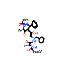 COC(=O)N[C@H](C(=O)NN(CC1CCCCC1)CC(O)C(C(=O)[C@@H](NC(=O)OC)C(C)C)C(N)c1ccccc1)C(C)C